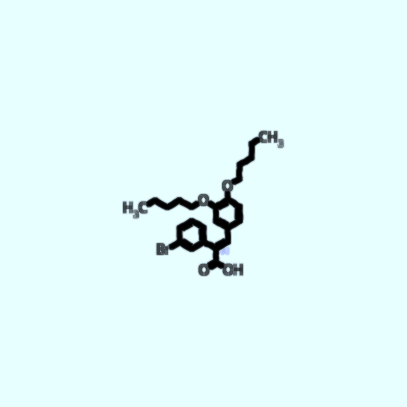 CCCCCOc1ccc(/C=C(/C(=O)O)c2cccc(Br)c2)cc1OCCCCC